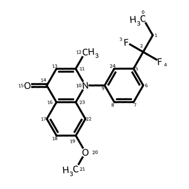 CCC(F)(F)c1cccc(-n2c(C)cc(=O)c3ccc(OC)cc32)c1